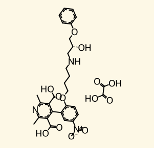 Cc1nc(C)c(C(=O)O)c(-c2cc([N+](=O)[O-])ccc2OCCCCNC[C@@H](O)COc2ccccc2)c1C(=O)O.O=C(O)C(=O)O